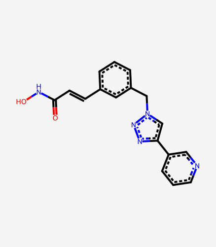 O=C(C=Cc1cccc(Cn2cc(-c3cccnc3)nn2)c1)NO